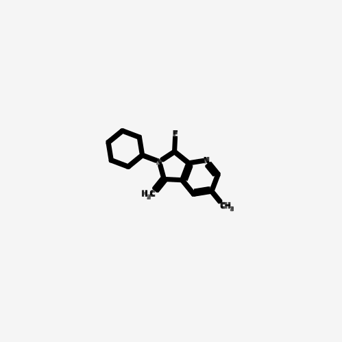 C=C1c2cc(C)cnc2C(F)N1C1CCCCC1